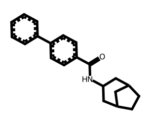 O=C(NC1CC2CCC(C2)C1)c1ccc(-c2ccccc2)cc1